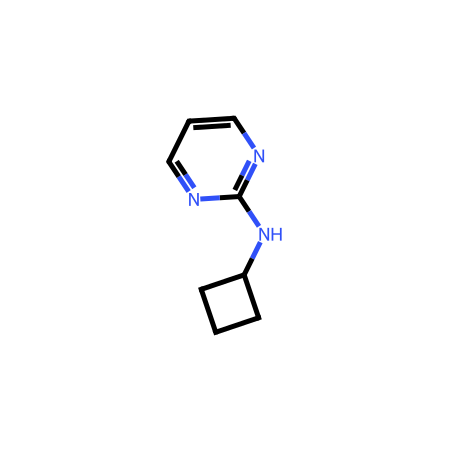 c1cnc(NC2CCC2)nc1